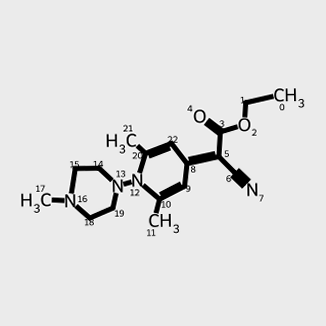 CCOC(=O)C(C#N)=C1C=C(C)N(N2CCN(C)CC2)C(C)=C1